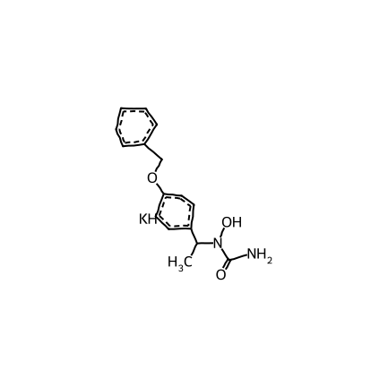 CC(c1ccc(OCc2ccccc2)cc1)N(O)C(N)=O.[KH]